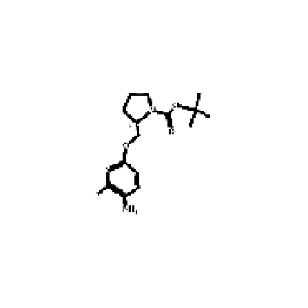 Cc1nc(OC[C@H]2CCCN2C(=O)OC(C)(C)C)ccc1N